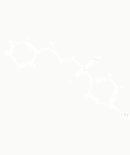 Cc1ccc(S(=O)(=O)CCSc2ccccc2)cc1